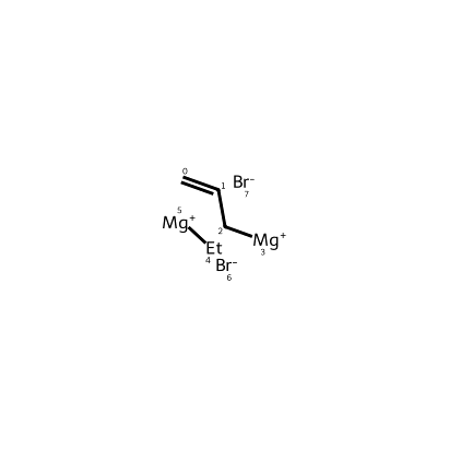 C=C[CH2][Mg+].C[CH2][Mg+].[Br-].[Br-]